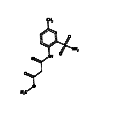 COC(=O)CC(=O)Nc1ccc(C)cc1S(N)(=O)=O